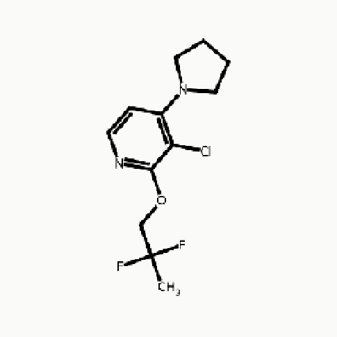 CC(F)(F)COc1nccc(N2CCCC2)c1Cl